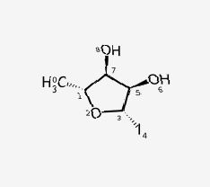 C[C@H]1O[C@@H](I)[C@H](O)[C@@H]1O